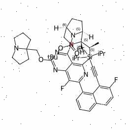 CC(C)[Si](C#Cc1c(F)ccc2cccc(-c3nc4c5c(nc(OCC67CCCN6CCC7)nc5c3F)N3C[C@H]5CC[C@@H]([C@@H]3[C@@H](C)C4)N5C(=O)OC(C)(C)C)c12)(C(C)C)C(C)C